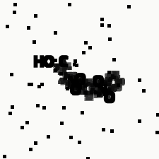 O=C(O)C=Cc1ccn(S(=O)(=O)c2ccc(CN3C(=O)c4ccccc4C3=O)cc2)c1